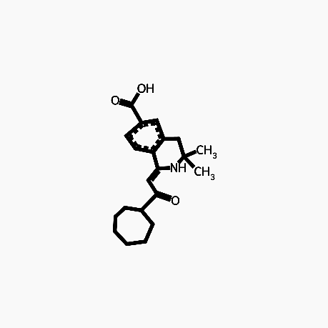 CC1(C)Cc2cc(C(=O)O)ccc2/C(=C/C(=O)C2CCCCCC2)N1